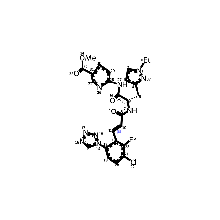 CCn1ccc(C[C@H](NC(=O)/C=C/c2c(-n3cnnn3)ccc(Cl)c2F)C(=O)Nc2ccc(C(=O)OC)cn2)n1